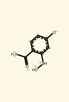 NC(=O)c1ccc(Cl)cc1BO